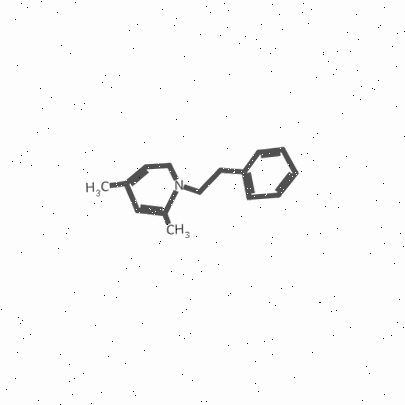 CC1=CCN(CCc2ccccc2)C(C)=C1